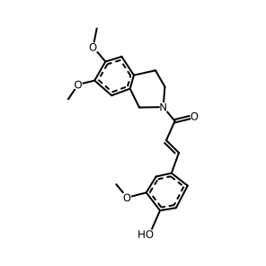 COc1cc(/C=C/C(=O)N2CCc3cc(OC)c(OC)cc3C2)ccc1O